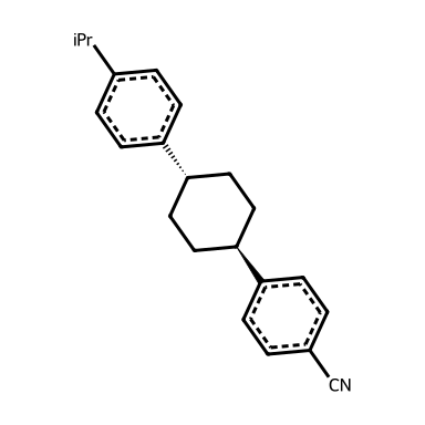 CC(C)c1ccc([C@H]2CC[C@H](c3ccc(C#N)cc3)CC2)cc1